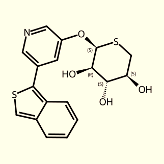 O[C@@H]1[C@@H](O)[C@@H](Oc2cncc(-c3scc4ccccc34)c2)SC[C@H]1O